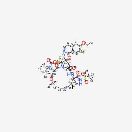 CCOc1cc2ccnc(O[C@]3(C)C[C@H]4C(=O)N[C@]5(C(=O)NS(=O)(=O)C6(C)CC6)C[C@H]5/C=C\CC[C@@H](C)O[C@@H](CC)[C@H](N(C(=O)O)C(C)CC)C(=O)N4C3(F)F)c2cc1F